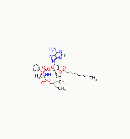 C#CC1(CO[P@@](=O)(N[C@@H](C)C(=O)OCC(CC)CC)Oc2ccccc2)OC(n2cnc3c(N)nc(F)nc32)CC1OC(=O)CCCCCCCCC